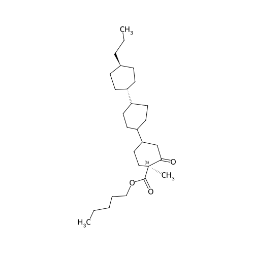 CCCCCOC(=O)[C@@]1(C)CCC(C2CCC([C@H]3CC[C@H](CCC)CC3)CC2)CC1=O